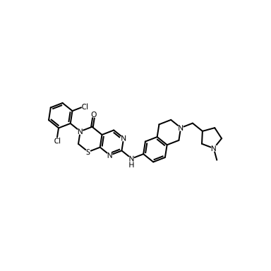 CN1CCC(CN2CCc3cc(Nc4ncc5c(n4)SCN(c4c(Cl)cccc4Cl)C5=O)ccc3C2)C1